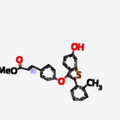 COC(=O)/C=C/c1ccc(Oc2c(-c3ccccc3C)sc3cc(O)ccc23)cc1